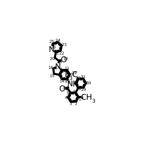 Cc1cccc(C(=O)Nc2ccc3c(c2)CCN3C(=O)Cc2ccccn2)c1-c1cccc(C(F)(F)F)c1